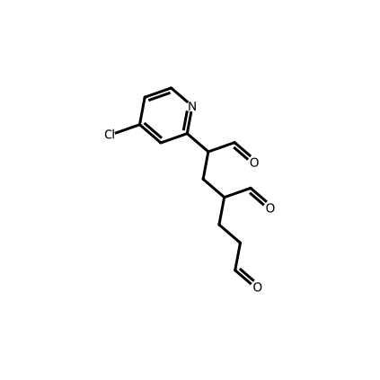 O=CCCC(C=O)CC(C=O)c1cc(Cl)ccn1